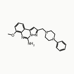 COc1cccc2c1nc(N)n1nc(CN3CCN(c4ccccc4)CC3)cc21